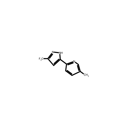 Cc1ccc(-c2cc(C(F)(F)F)n[nH]2)nc1